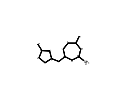 CC1CCC(CC2CCC(C)C2)CC(N)C1